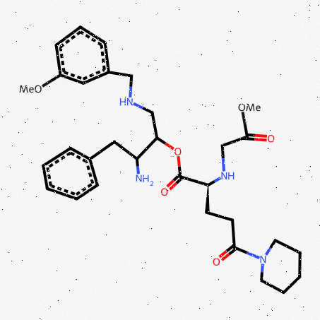 COC(=O)CN[C@@H](CCC(=O)N1CCCCC1)C(=O)OC(CNCc1cccc(OC)c1)C(N)Cc1ccccc1